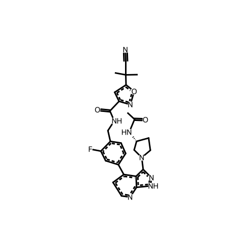 CC(=O)N[C@@H]1CCN(c2n[nH]c3nccc(-c4ccc(CNC(=O)c5cc(C(C)(C)C#N)on5)c(F)c4)c23)C1